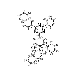 c1ccc(-c2nc(-c3ccc4ccccc4c3)nc(-c3cc(-c4ccccc4)c4c(c3)oc3c5ccccc5ccc34)n2)cc1